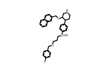 Cl.Fc1ccc(COCCCOc2ccc(C3CCNCC3OCc3ccc4ccccc4c3)cc2)cc1